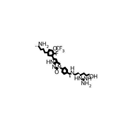 C[C@H](N)CCCc1cc(OC(F)(F)F)c(F)c(-c2cc3cn(-c4ccc([C@H](C)NCC[C@@H](CCCO)NC(=N)N)cc4)c(=O)nc3[nH]2)c1